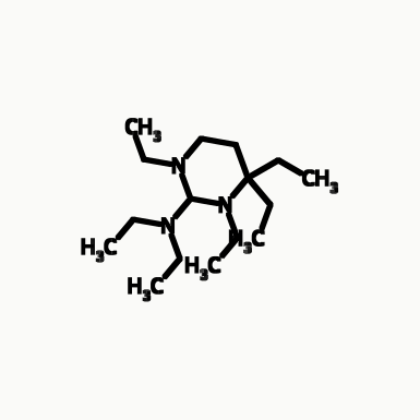 CCN(CC)C1N(CC)CCC(CC)(CC)N1CC